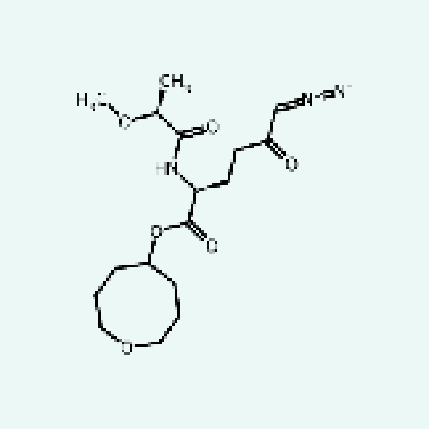 CO[C@@H](C)C(=O)N[C@@H](CCC(=O)C=[N+]=[N-])C(=O)OC1CCCOCCC1